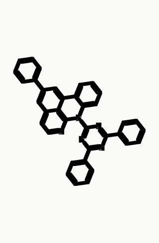 c1ccc(-c2cc3c4c(nccc4c2)N(c2nc(-c4ccccc4)nc(-c4ccccc4)n2)c2ccccc2-3)cc1